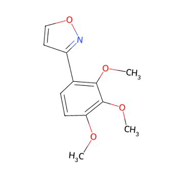 COc1ccc(-c2ccon2)c(OC)c1OC